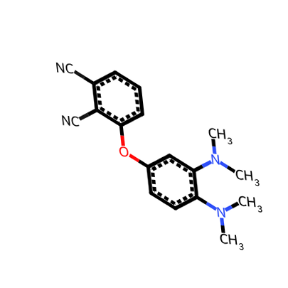 CN(C)c1ccc(Oc2cccc(C#N)c2C#N)cc1N(C)C